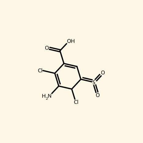 NC1=C(Cl)C(C(=O)O)=CC(=S(=O)=O)C1Cl